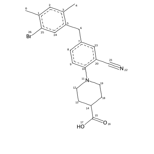 Cc1cc(C)c(Cc2ccc(N3CCC(C(=O)O)CC3)c(C#N)c2)cc1Br